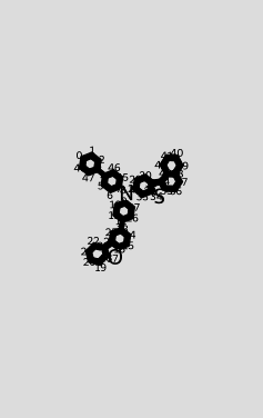 c1ccc(-c2ccc(N(c3ccc(-c4ccc5oc6ccccc6c5c4)cc3)c3ccc4c(c3)sc3ccc5ccccc5c34)cc2)cc1